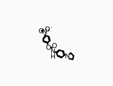 O=C(Nc1ccc(N2CCCC2)cc1)Oc1ccc([N+](=O)[O-])cc1